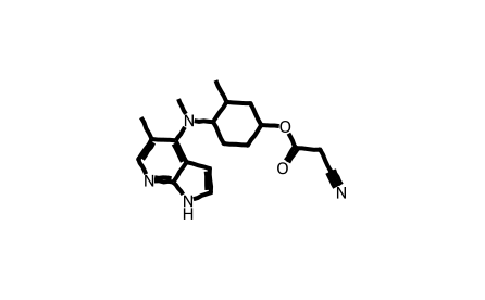 Cc1cnc2[nH]ccc2c1N(C)C1CCC(OC(=O)CC#N)CC1C